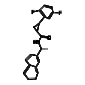 CC(NC(=O)C1CC1c1cc(F)ccc1F)c1ccc2ccccc2c1